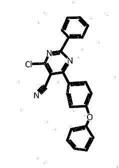 N#Cc1c(Cl)nc(-c2ccccc2)nc1-c1ccc(Oc2ccccc2)cc1